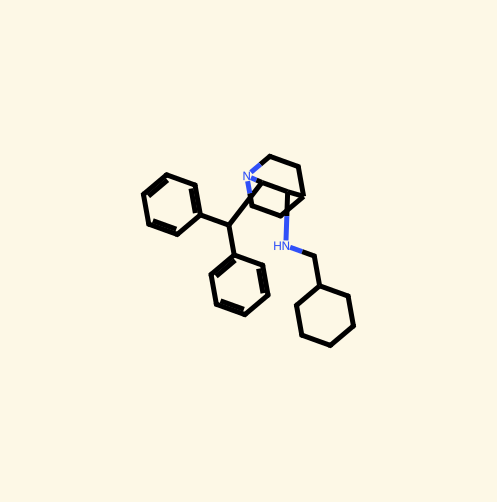 c1ccc(C(c2ccccc2)C2C(NCC3CCCCC3)C3CCN2CC3)cc1